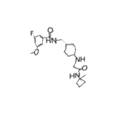 COc1cc(F)cc(C(=O)NC[C@H]2CC[C@H](NCC(=O)NC3(C)CCC3)CC2)c1